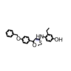 CCc1cc(O)ccc1N/C(=C/C(=O)c1ccc(OCc2ccccc2)cc1)SC